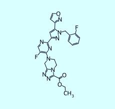 CCOC(=O)c1nnc2n1CCN(c1nc(-c3cc(-c4ccon4)n(Cc4ccccc4F)n3)ncc1F)C2